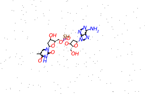 Cc1cn([C@H]2CC(O)[C@@H](CO[P@](=O)(S)OC3C[C@H](n4cnc5c(N)ncnc54)O[C@@H]3CO)O2)c(=O)[nH]c1=O